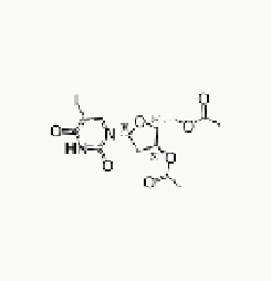 CC(=O)OC[C@H]1O[C@@H](n2cc(I)c(=O)[nH]c2=O)C[C@@H]1OC(C)=O